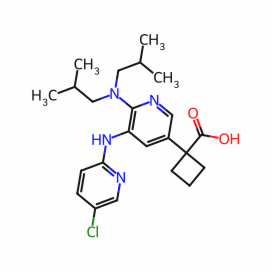 CC(C)CN(CC(C)C)c1ncc(C2(C(=O)O)CCC2)cc1Nc1ccc(Cl)cn1